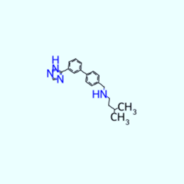 CC(C)CCNCc1ccc(-c2cccc(-c3ncn[nH]3)c2)cc1